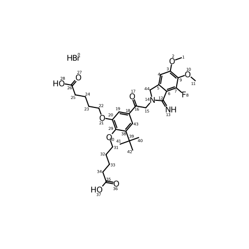 Br.COc1cc2c(c(F)c1OC)C(=N)N(CC(=O)c1cc(OCCCCC(=O)O)c(OCCCCC(=O)O)c(C(C)(C)C)c1)C2